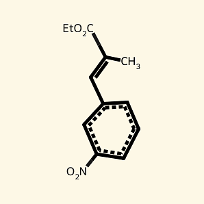 CCOC(=O)C(C)=Cc1cccc([N+](=O)[O-])c1